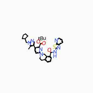 Cc1c(-c2ccc(N3CCc4cccc(C(=O)Nc5nc6cccnc6s5)c4C3)nc2C(=O)OC(C)(C)C)cnn1CC1CCCC1